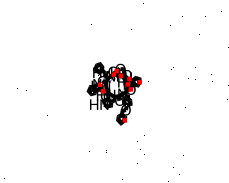 O=C1N[C@@H](Cc2ccc(OCc3ccccc3)cc2)C(=O)N2Cc3ccccc3C[C@H]2C(=O)N2CCOC[C@H]2C(=O)N[C@@H](CCc2ccccc2)C(=O)N[C@H](Cc2c[nH]c3ccccc23)C(=O)N[C@H]1CC1CCNCC1